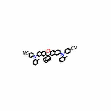 Cc1ccccc1N(c1ccc(C#N)cc1)c1ccc2cc3c(cc2c1)C1(c2cc4cc(N(c5ccc(C#N)cc5)c5ccccc5C)ccc4cc2O3)C2CC3CC(C2)CC1C3